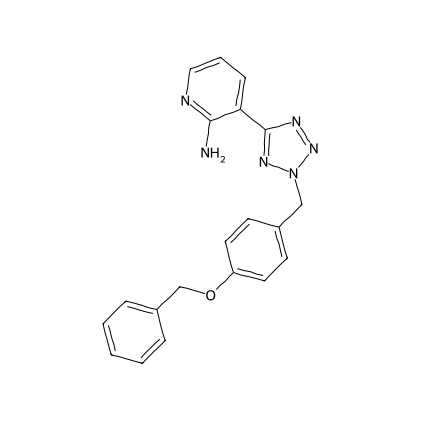 Nc1ncccc1-c1nnn(Cc2ccc(OCc3ccccc3)cc2)n1